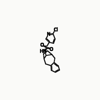 O=S(=O)(NC1C2CCC1Cc1ccccc1C2)c1ccc(Cl)nc1